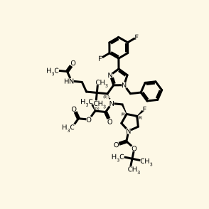 CC(=O)NCCC(C)(C)[C@H](c1nc(-c2cc(F)ccc2F)cn1Cc1ccccc1)N(C[C@@H]1CN(C(=O)OC(C)(C)C)C[C@@H]1F)C(=O)[C@H](C)OC(C)=O